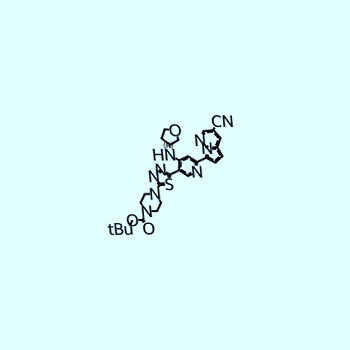 CC(C)(C)OC(=O)N1CCN(c2nnc(-c3cnc(-c4ccc5cc(C#N)cnn45)cc3N[C@@H]3CCOC3)s2)CC1